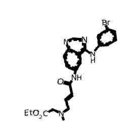 CCOC(=O)CN(C)CC=CC(=O)Nc1ccc2ncnc(Nc3cccc(Br)c3)c2c1